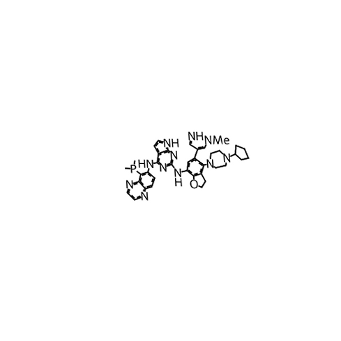 CN/C=C(\C=N)c1cc(Nc2nc(Nc3ccc4nccnc4c3P(C)C)c3cc[nH]c3n2)c2c(c1N1CCN(C3CCCC3)CC1)CCO2